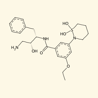 CCOc1cc(C(=O)N[C@@H](Cc2ccccc2)[C@H](O)CN)cc(N2CCCCS2(O)O)c1